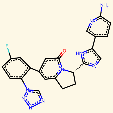 Nc1ccc(-c2cnc([C@@H]3CCc4cc(-c5cc(F)ccc5-n5cnnn5)cc(=O)n43)[nH]2)cn1